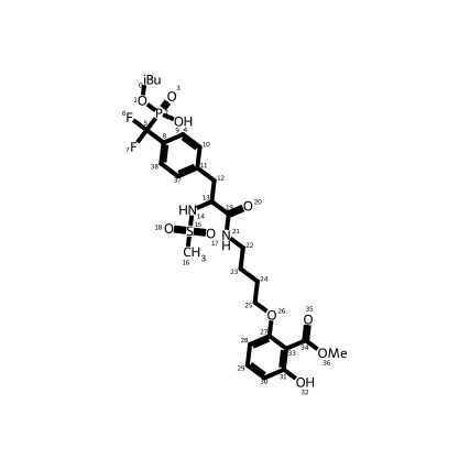 CCC(C)OP(=O)(O)C(F)(F)c1ccc(CC(NS(C)(=O)=O)C(=O)NCCCCOc2cccc(O)c2C(=O)OC)cc1